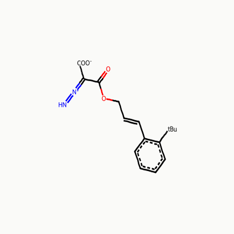 CC(C)(C)c1ccccc1C=CCOC(=O)C(=[N+]=N)C(=O)[O-]